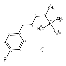 CC(CCCc1ccc(Cl)cc1)[N+](C)(C)C.[Br-]